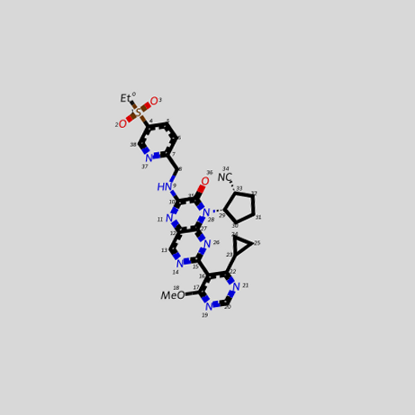 CCS(=O)(=O)c1ccc(CNc2nc3cnc(-c4c(OC)ncnc4C4CC4)nc3n([C@H]3CCC[C@H]3C#N)c2=O)nc1